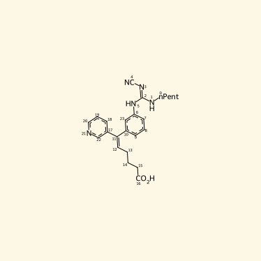 CCCCCN/C(=N/C#N)Nc1cccc(/C(=C\CCCC(=O)O)c2cccnc2)c1